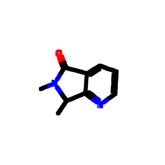 CC1c2ncccc2C(=O)N1C